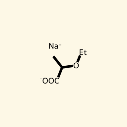 CCOC(C)C(=O)[O-].[Na+]